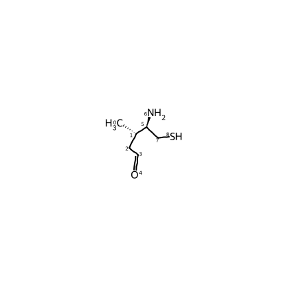 C[C@@H](CC=O)[C@@H](N)CS